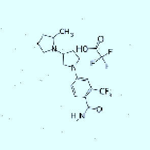 CC1CCCN1C1CCN(c2ccc(C(N)=O)c(C(F)(F)F)c2)C1.O=C(O)C(F)(F)F